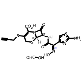 C#CCSC1=C(C(=O)O)N2C(=O)[C@@H](NC(=O)/C(=N\O)c3csc(N)n3)[C@H]2SC1.O=CO